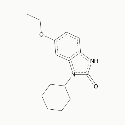 CCOc1ccc2[nH]c(=O)n(C3CCCCC3)c2c1